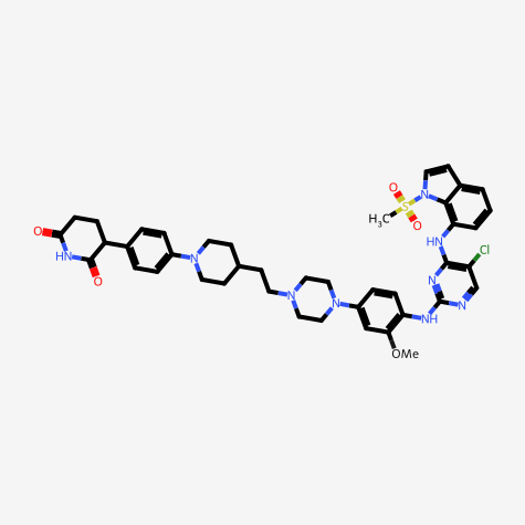 COc1cc(N2CCN(CCC3CCN(c4ccc(C5CCC(=O)NC5=O)cc4)CC3)CC2)ccc1Nc1ncc(Cl)c(Nc2cccc3ccn(S(C)(=O)=O)c23)n1